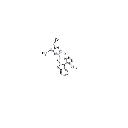 C/C=C(\N=C(/C)CSc1nc2ccccc2n1-c1nnnn1C)NCC1CC1